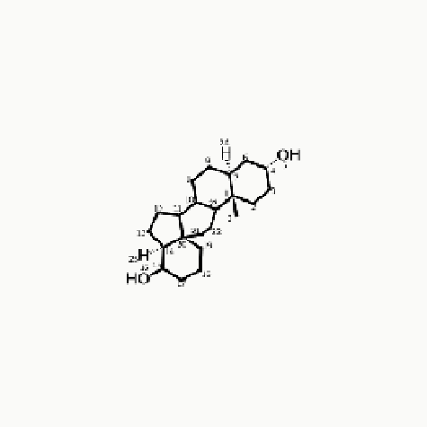 C[C@]12CC[C@@H](O)C[C@@H]1CCC1C3CC[C@@H]4C(O)CCC[C@]34CCC12